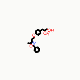 Cc1oc(-c2ccccc2)nc1CCOc1ccc(CC(O)CO)cc1